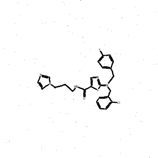 O=C(NCCCn1ccnc1)c1cnc(N(Cc2ccc(F)cc2)Cc2ccccc2Cl)s1